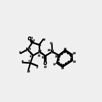 CC1C(=O)N(C)C(C(C)(C)C)N1C(=O)N(C)c1ccccc1